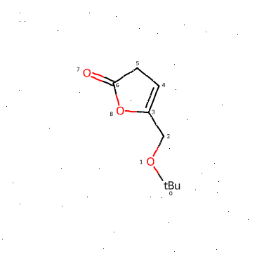 CC(C)(C)OCC1=CCC(=O)O1